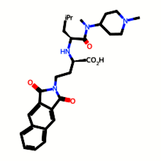 CC(C)C[C@H](N[C@H](CCN1C(=O)c2cc3ccccc3cc2C1=O)C(=O)O)C(=O)N(C)C1CCN(C)CC1